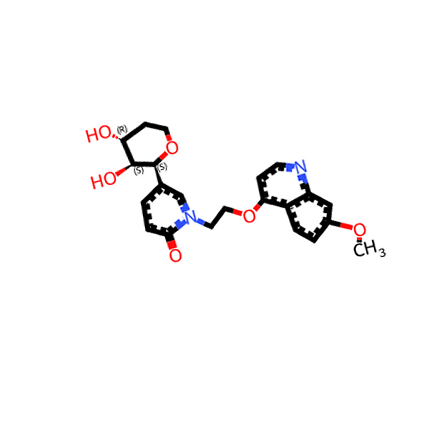 COc1ccc2c(OCCn3cc([C@@H]4OCC[C@@H](O)[C@@H]4O)ccc3=O)ccnc2c1